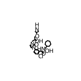 O=C(NC(O)C1CCCCCC1)c1cc(-n2ccn(CC(O)COC3CNC3)c2=O)ccc1Cl